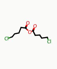 O=C(CCCCCl)OC(=O)CCCCCl